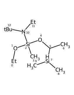 CCO[Si](C)(OC(C)[SiH](C)C)N(CC)C(C)(C)C